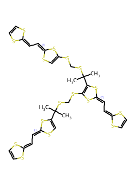 CC(C)(SCSC1=C(C(C)(C)SCSC2=CS/C(=C\C=C3SC=CS3)S2)S/C(=C/C=C2SC=CS2)S1)C1=CS/C(=C\C=C2SC=CS2)S1